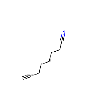 [C]#CCCCCCC#N